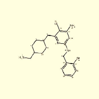 NCC1CCC(Cc2nc(NCc3ccccc3Br)nc(N)c2Cl)CC1